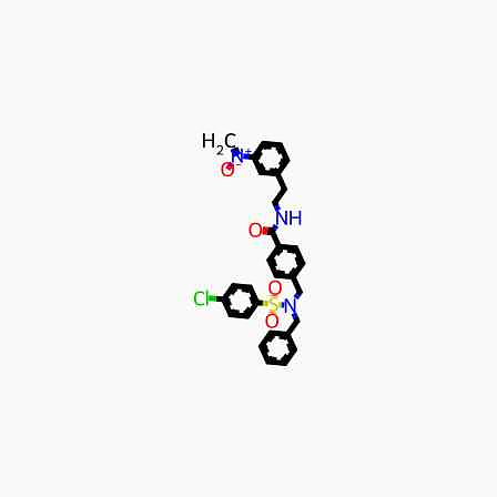 C=[N+]([O-])c1cccc(CCNC(=O)c2ccc(CN(Cc3ccccc3)S(=O)(=O)c3ccc(Cl)cc3)cc2)c1